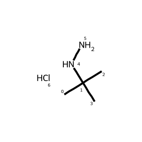 CC(C)(C)NN.Cl